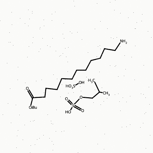 CC(C)COC(=O)CCCCCCCCCCCN.CC(C)COS(=O)(=O)O.O=S(=O)(O)O